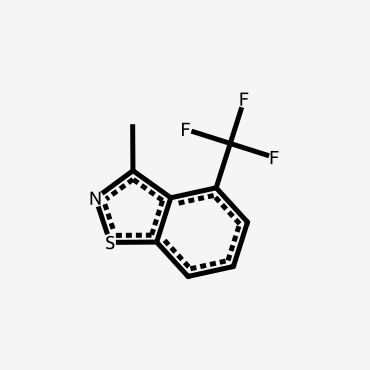 Cc1nsc2cccc(C(F)(F)F)c12